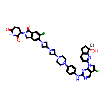 CC[C@@]1(O)CCc2ccc(-n3cc(F)c4cnc(Nc5ccc(N6CCN(C7CN(C8CN(c9cc%10c(cc9F)C(=O)N(C9CCC(=O)NC9=O)C%10)C8)C7)CC6)cc5)nc43)nc21